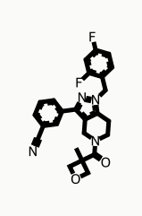 CC1(C(=O)N2CCc3c(c(-c4cccc(C#N)c4)nn3Cc3ccc(F)cc3F)C2)COC1